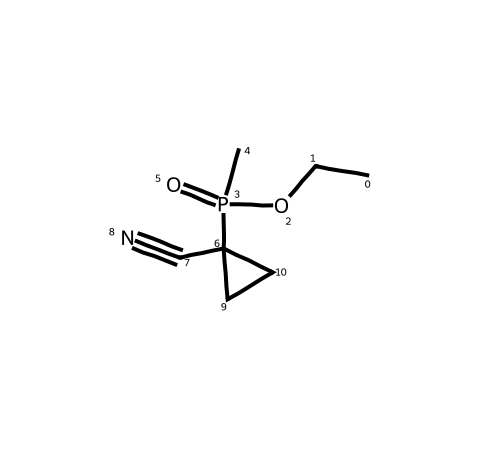 CCOP(C)(=O)C1(C#N)CC1